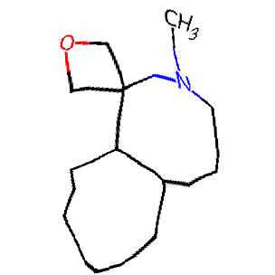 CN1CCC2CCCCC2C12COC2